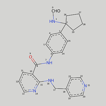 O=CNC1(c2ccc(NC(=O)c3cccnc3NCc3ccncc3)cc2)CCCC1